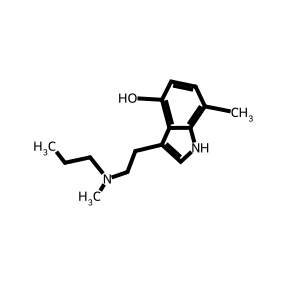 CCCN(C)CCc1c[nH]c2c(C)ccc(O)c12